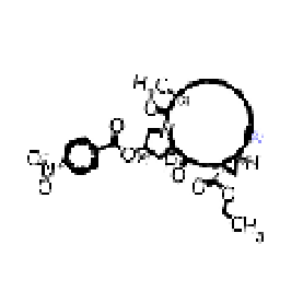 CCOC(=O)[C@]12CC(=O)[C@@H]3C[C@@H](OC(=O)c4ccc([N+](=O)[O-])cc4)CN3C(=O)[C@@H](C)CCCCC/C=C\[C@@H]1C2